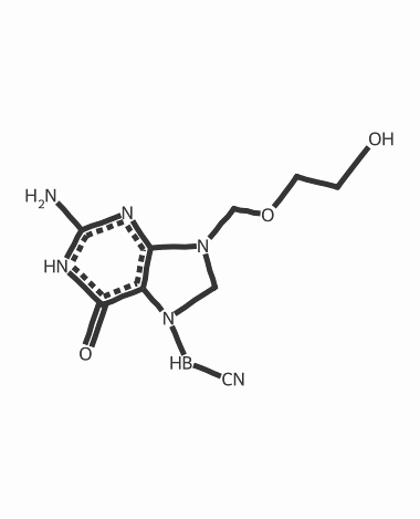 N#CBN1CN(COCCO)c2nc(N)[nH]c(=O)c21